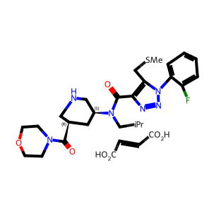 CSCc1c(C(=O)N(CC(C)C)[C@@H]2CNC[C@H](C(=O)N3CCOCC3)C2)nnn1-c1ccccc1F.O=C(O)C=CC(=O)O